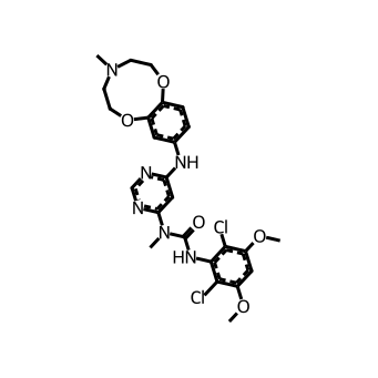 COc1cc(OC)c(Cl)c(NC(=O)N(C)c2cc(Nc3ccc4c(c3)OCCN(C)CCO4)ncn2)c1Cl